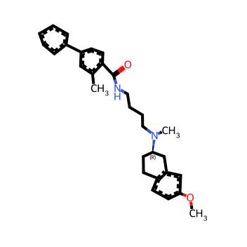 COc1ccc2c(c1)C[C@H](N(C)CCCCNC(=O)c1ccc(-c3ccccc3)cc1C)CC2